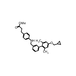 COC(=O)CCc1ccc(NCc2cccc(-c3c(C)cc(OCC4CC4)cc3C)c2)cc1